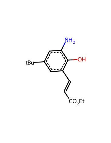 CCOC(=O)C=Cc1cc(C(C)(C)C)cc(N)c1O